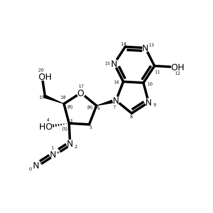 [N-]=[N+]=N[C@]1(O)C[C@H](n2cnc3c(O)ncnc32)O[C@@H]1CO